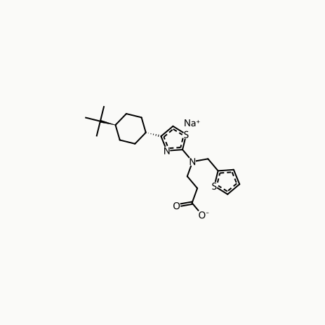 CC(C)(C)[C@H]1CC[C@H](c2csc(N(CCC(=O)[O-])Cc3cccs3)n2)CC1.[Na+]